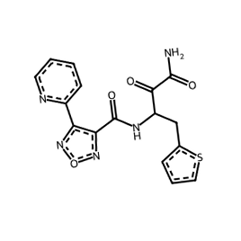 NC(=O)C(=O)C(Cc1cccs1)NC(=O)c1nonc1-c1ccccn1